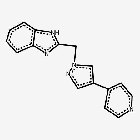 c1ccc2[nH]c(Cn3cc(-c4ccncc4)cn3)nc2c1